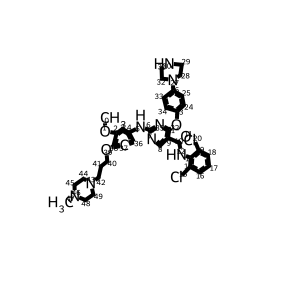 COc1cc(Nc2ncc(C(=O)Nc3c(Cl)cccc3Cl)c(Oc3ccc(N4CCNCC4)cc3)n2)ccc1OCCCN1CCN(C)CC1